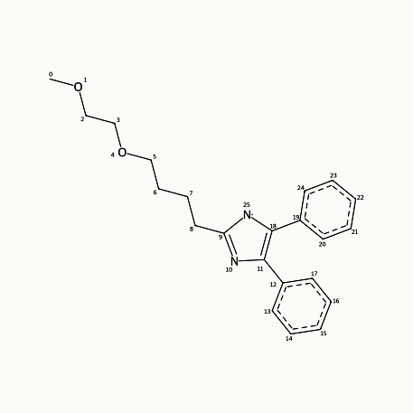 COCCOCCCCC1=NC(c2ccccc2)=C(c2ccccc2)[N]1